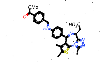 COC(=O)c1ccc(CNc2ccc(C3=N[C@@H](CC(=O)O)c4nnc(C)n4-c4sc(C)c(C)c43)cc2)cc1